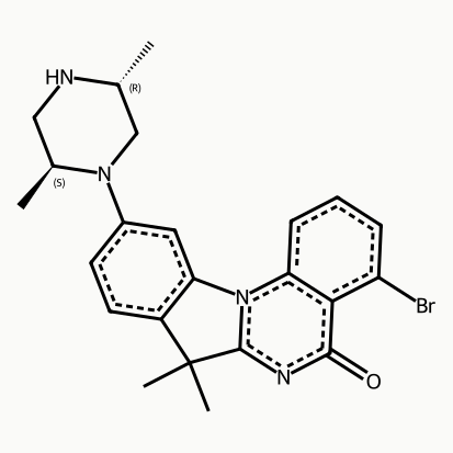 C[C@@H]1CN(c2ccc3c(c2)-n2c(nc(=O)c4c(Br)cccc42)C3(C)C)[C@@H](C)CN1